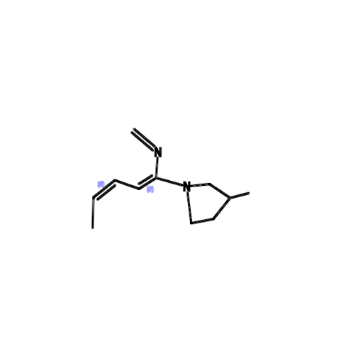 C=N/C(=C\C=C/C)N1CCC(C)C1